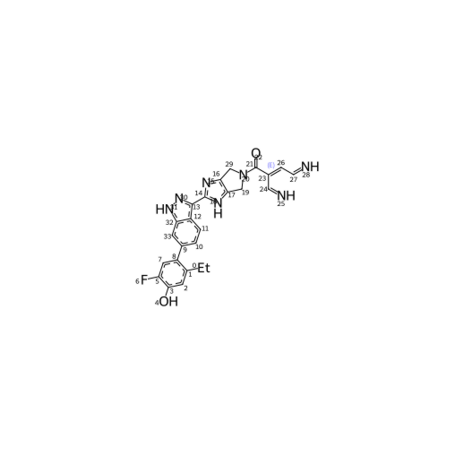 CCc1cc(O)c(F)cc1-c1ccc2c(-c3nc4c([nH]3)CN(C(=O)/C(C=N)=C/C=N)C4)n[nH]c2c1